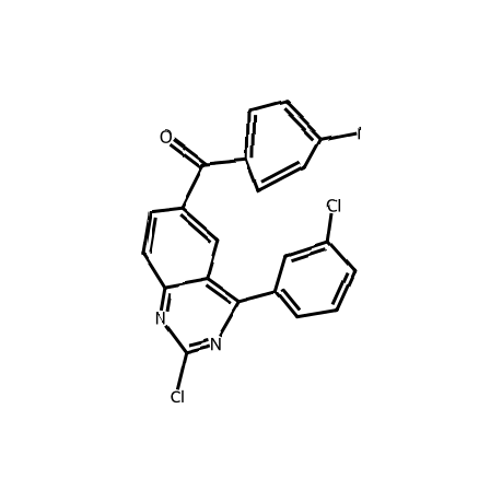 O=C(c1ccc(I)cc1)c1ccc2nc(Cl)nc(-c3cccc(Cl)c3)c2c1